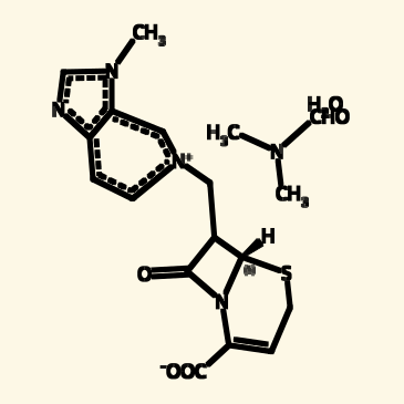 CN(C)C=O.Cn1cnc2cc[n+](CC3C(=O)N4C(C(=O)[O-])=CCS[C@@H]34)cc21.O